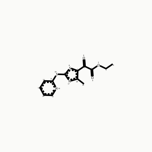 CCOC(=O)C(=O)c1sc(Sc2ccccn2)nc1C